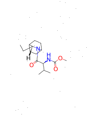 CC[C@@H]1C2CCC(CC2)N1C(=O)[C@@H](NC(=O)OC)C(C)C